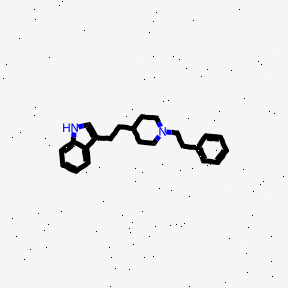 c1ccc(CCN2CCC(CCc3c[nH]c4ccccc34)CC2)cc1